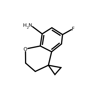 Nc1cc(F)cc2c1OCCC21CC1